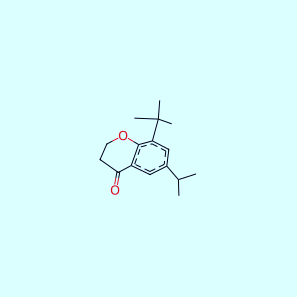 CC(C)c1cc2c(c(C(C)(C)C)c1)OCCC2=O